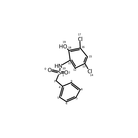 O=S(=O)(Cc1ccccc1)Nc1cc(Cl)cc(Cl)c1O